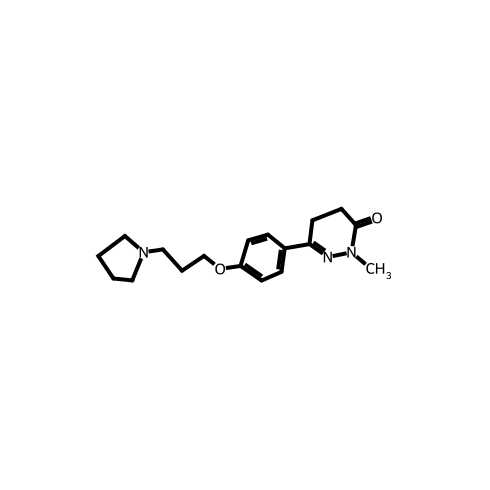 CN1N=C(c2ccc(OCCCN3CCCC3)cc2)CCC1=O